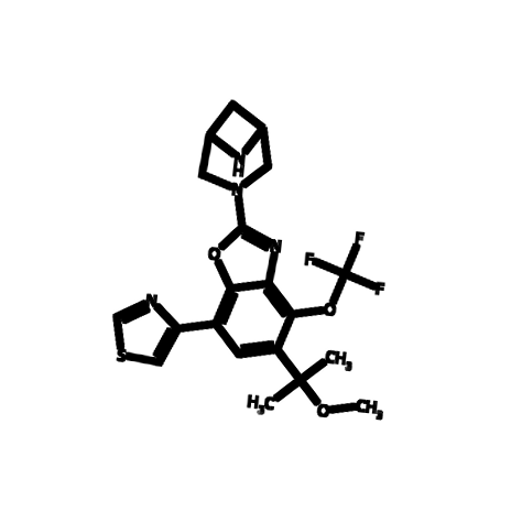 COC(C)(C)c1cc(-c2cscn2)c2oc(N3CC4CC(C3)N4)nc2c1OC(F)(F)F